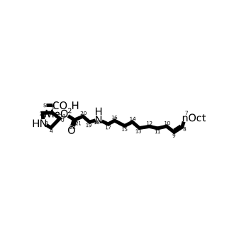 C1CCNC1.CC(=O)O.CCCCCCCC/C=C\CCCCCCCCNCCC(=O)OC